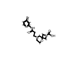 O=C(CCN1CCOC2(C1)CN(C(=O)O)C2)Nc1cc(Br)ccn1